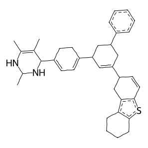 CC1=C(C)C(C2=CC=C(C3C=C(C4C=Cc5sc6c(c5C4)CCCC6)CC(c4ccccc4)C3)CC2)NC(C)N1